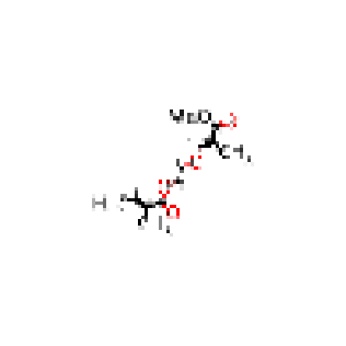 CC=C(C)C(=O)OCCOC=C(C)C(=O)OC